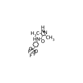 Cc1n[nH]c(C)c1C(=O)Nc1ccc(S(=O)(=O)C(F)(F)F)cc1